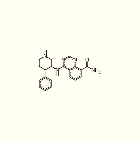 NC(=O)c1cccc2c(N[C@@H]3CNCC[C@H]3c3ccccc3)ncnc12